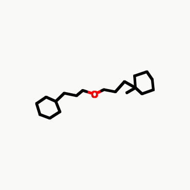 CC1(CCCOCCCC2CCCCC2)CCCCC1